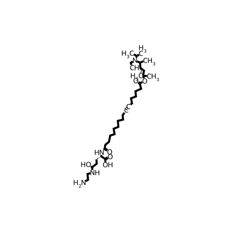 CCN(C(C)C)C(C)CCC(C)(C)OC(=O)CCCCCCCCCCCCCCCCC(=O)N[C@@H](CCC(O)NCCN)C(=O)O